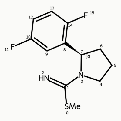 CSC(=N)N1CCC[C@@H]1c1cc(F)ccc1F